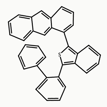 c1ccc(-c2ccccc2-c2sc(-c3cccc4cc5ccccc5cc34)c3ccccc23)cc1